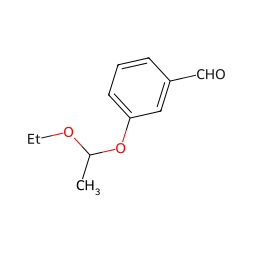 CCOC(C)Oc1cccc(C=O)c1